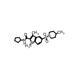 Cc1c(C(=O)NC2CCCC2)n(C)c2ccc(S(=O)(=O)N3CCC(C)CC3)cc12